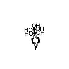 OC(O)(O)C(O)(O)N1CCN(F)CC1